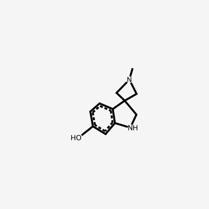 CN1CC2(CNc3cc(O)ccc32)C1